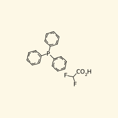 O=C(O)C(F)F.c1ccc(P(c2ccccc2)c2ccccc2)cc1